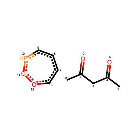 CC(=O)CC(C)=O.c1cc[pH]ooc1